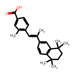 C/C(=C\c1ccc(C(=O)O)cc1C)c1ccc2c(c1)C(C)(C)CCC2(C)C